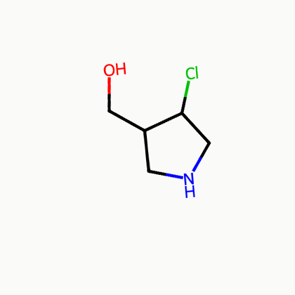 OCC1CNCC1Cl